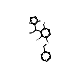 CCc1ccc(OCc2ccccc2)c(CC)c1C(O)c1ncc[nH]1